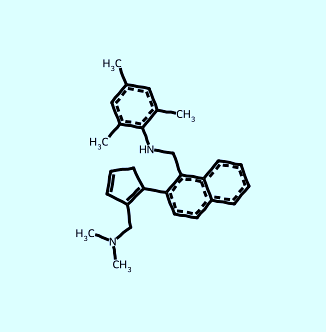 Cc1cc(C)c(NCc2c(C3=C(CN(C)C)C=CC3)ccc3ccccc23)c(C)c1